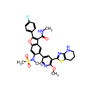 CNC(=O)c1c(-c2ccc(F)cc2)oc2cc(N(C)S(C)(=O)=O)c(-c3cnc(OC)c(-c4nc5c(s4)CCCN5)c3)cc12